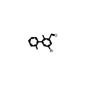 Cc1ccccc1-c1cc(Br)cc(C=O)c1C